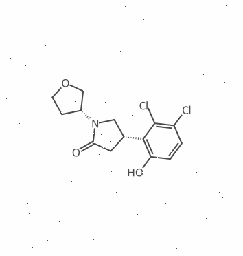 O=C1C[C@@H](c2c(O)ccc(Cl)c2Cl)CN1[C@@H]1CCOC1